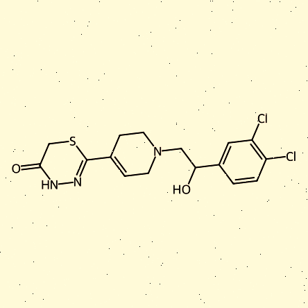 O=C1CSC(C2=CCN(CC(O)c3ccc(Cl)c(Cl)c3)CC2)=NN1